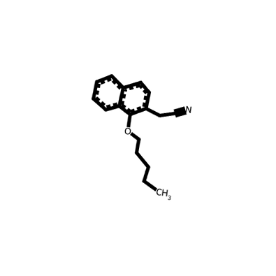 CCCCCOc1c(CC#N)ccc2ccccc12